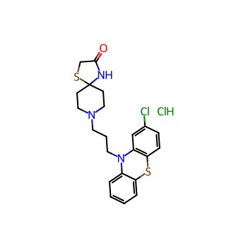 Cl.O=C1CSC2(CCN(CCCN3c4ccccc4Sc4ccc(Cl)cc43)CC2)N1